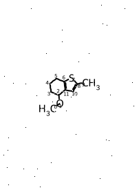 COC1CCCc2sc(C)cc21